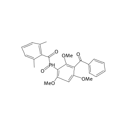 COc1cc(OC)c([PH](=O)C(=O)c2c(C)cccc2C)c(OC)c1C(=O)c1ccccc1